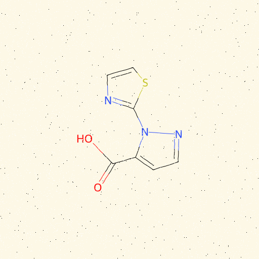 O=C(O)c1ccnn1-c1nccs1